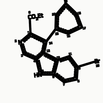 CCOC(=O)c1ncc2[nH]c3ccc(Br)cc3c2c1-c1ccccc1